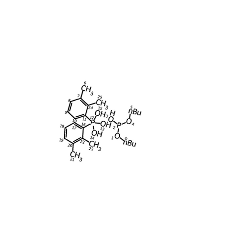 CCCCOP(O)OCCCC.Cc1cccc(P(O)(O)(O)c2cccc(C)c2C)c1C